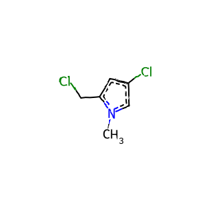 Cn1cc(Cl)cc1CCl